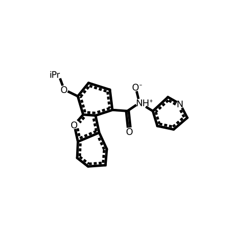 CC(C)Oc1ccc(C(=O)[NH+]([O-])c2cccnc2)c2c1oc1ccccc12